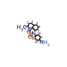 Cc1ccc2cccc(N(c3ccc(N)cc3)S(=O)O)c2n1